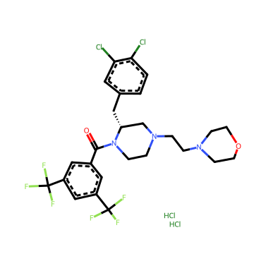 Cl.Cl.O=C(c1cc(C(F)(F)F)cc(C(F)(F)F)c1)N1CCN(CCN2CCOCC2)C[C@H]1Cc1ccc(Cl)c(Cl)c1